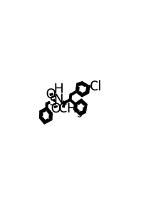 CC(NS(=O)(=O)Cc1ccccc1)C(Cc1ccc(Cl)cc1)c1ccccc1